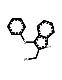 CC(C)Cc1[nH]c2ccccc2c1Sc1ccccc1